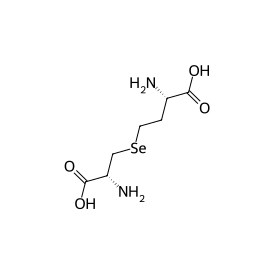 N[C@@H](CC[Se]C[C@H](N)C(=O)O)C(=O)O